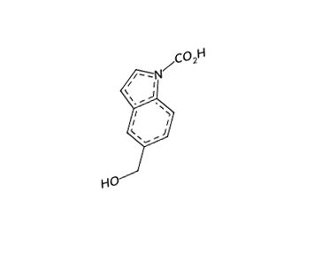 O=C(O)n1ccc2cc(CO)ccc21